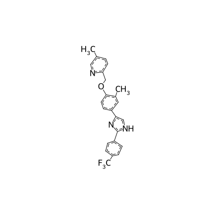 Cc1ccc(COc2ccc(-c3c[nH]c(-c4ccc(C(F)(F)F)cc4)n3)cc2C)nc1